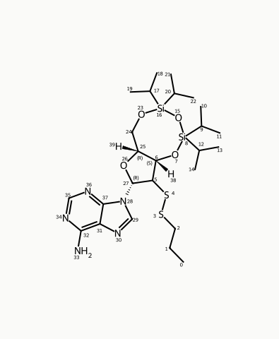 CCCSSC1[C@H]2O[Si](C(C)C)(C(C)C)O[Si](C(C)C)(C(C)C)OC[C@H]2O[C@H]1n1cnc2c(N)ncnc21